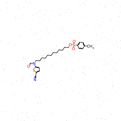 Cc1ccc(S(=O)(=O)OCCCCCCCCCCCCN(C=O)c2ccc(C#N)s2)cc1